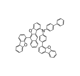 c1ccc(-c2ccc(N(c3ccc(-c4cccc5c4oc4ccccc45)cc3)c3cccc4oc5c(-c6cccc7c6oc6ccccc67)c6ccccc6cc5c34)cc2)cc1